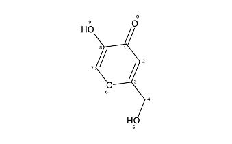 O=c1cc(CO)o[c]c1O